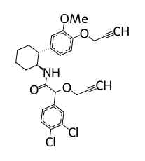 C#CCOc1ccc([C@H]2CCCC[C@@H]2NC(=O)C(OCC#C)c2ccc(Cl)c(Cl)c2)cc1OC